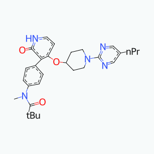 CCCc1cnc(N2CCC(Oc3cc[nH]c(=O)c3-c3ccc(N(C)C(=O)C(C)(C)C)cc3)CC2)nc1